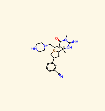 CN1C(=N)N[C@](C)(C2=CC(c3cccc(C#N)c3)CS2)[C@@H](CCN2CCNCC2)C1=O